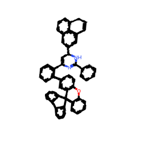 C1=Cc2cc(C3C=C(c4ccccc4-c4ccc5c(c4)C4(c6ccccc6O5)c5ccccc5-c5ccccc54)N=C(c4ccccc4)N3)cc3cccc(c23)C1